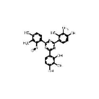 Cc1c(O)ccc(-c2nc(-c3ccc(O)c(C)c3O)nc(-c3ccc(O)c(C)c3N=O)n2)c1O